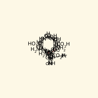 CC(C)CCCCCCCCC(=O)NC(Cc1c[nH]c2ccccc12)C(=O)NC(CC(N)=O)C(=O)NC(CC(=O)O)C(=O)NC1C(=O)NCC(=O)NC(CCCN)C(=O)NC(CC(=O)O)C(=O)NC(C)C(=O)NC(CC(=O)O)C(=O)NCC(=O)NC(CO)C(=O)NC(CCC(=O)O)C(=O)NC(CC(=O)c2ccccc2N)C(=O)OC1C